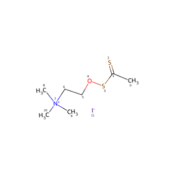 CC(=S)SOCC[N+](C)(C)C.[I-]